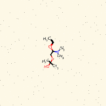 CCOC(COC(C)(C)O)N(C)C